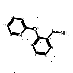 NCc1ccccc1Oc1ccccn1